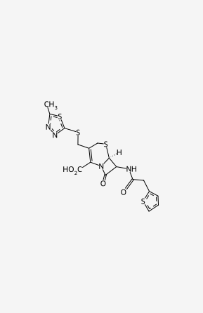 Cc1nnc(SCC2=C(C(=O)O)N3C(=O)C(NC(=O)Cc4cccs4)[C@@H]3SC2)s1